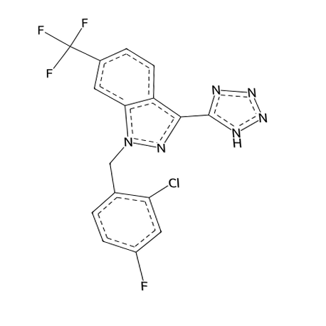 Fc1ccc(Cn2nc(-c3nnn[nH]3)c3ccc(C(F)(F)F)cc32)c(Cl)c1